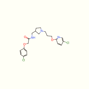 O=C(COc1ccc(Cl)cc1)NCC1CCN(CCCOc2ccc(Cl)cn2)C1